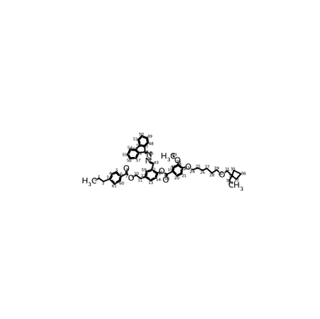 CCCc1ccc(C(=O)OCCc2ccc(OC(=O)c3ccc(OCCCCCCOCC4(CC)CCC4)c(OC)c3)c(/C=N/N=C3c4ccccc4-c4ccccc43)c2)cc1